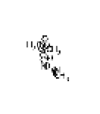 CC(c1ccc2ccc3ncc(-c4cnn(C)c4)cc3c(=O)c2c1)S(=O)(=O)N(C)c1ccccc1